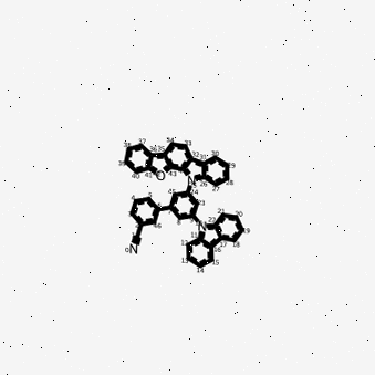 N#Cc1cccc(-c2cc(-n3c4ccccc4c4ccccc43)cc(-n3c4ccccc4c4ccc5c6ccccc6oc5c43)c2)c1